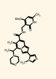 COc1cc(C)[nH]c(=O)c1CNC(=O)c1cc2cc(-c3cncn3C)cn2c(C(C)N2CCOCC2)c1C